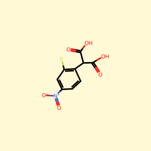 O=C(O)C(C(=O)O)c1ccc([N+](=O)[O-])cc1F